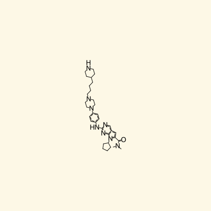 CN(C)C(=O)c1cc2cnc(Nc3ccc(N4CCN(CCCCC5CCNCC5)CC4)cc3)nc2n1C1CCCC1